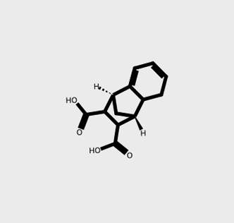 O=C(O)C1C(C(=O)O)[C@@H]2C[C@@H]1C1CC=CC=C12